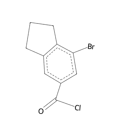 O=C(Cl)c1cc(Br)c2c(c1)CCC2